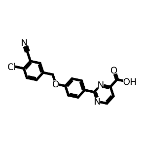 N#Cc1cc(COc2ccc(-c3nccc(C(=O)O)n3)cc2)ccc1Cl